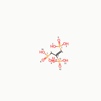 O=P(O)(O)/C=C(\CP(=O)(O)O)P(=O)(O)O